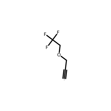 [C]#CCOCC(F)(F)F